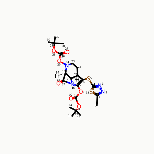 Cc1nnc(SC2=C(OC(=O)OC(C)(C)C)N3C(=O)[C@@H]4[C@H]3C2CCN4OC(=O)OC(C)(C)C)s1